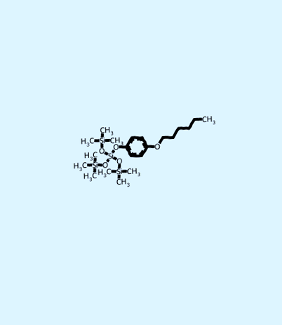 CCCCCCOc1ccc(O[Si](O[Si](C)(C)C)(O[Si](C)(C)C)O[Si](C)(C)C)cc1